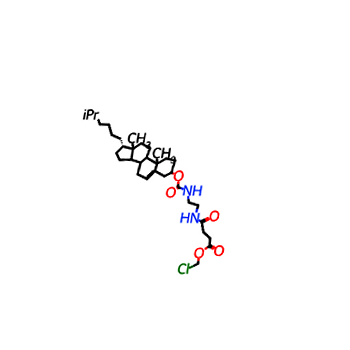 CC(C)CCCC[C@H]1CCC2C3CC=C4CC(OC(=O)NCCNC(=O)CCC(=O)OCCl)CCC4(C)C3CCC21C